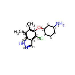 Cc1c(OC2CCCC(N)C2)c(Cl)c2cn[nH]c2c1C